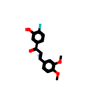 COc1ccc(/C=C/C(=O)c2ccc(F)c(O)c2)cc1OC